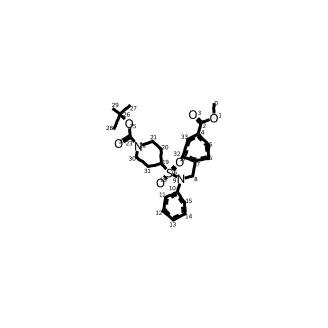 COC(=O)c1ccc(CN(c2ccccc2)S(=O)(=O)C2CCN(C(=O)OC(C)(C)C)CC2)cc1